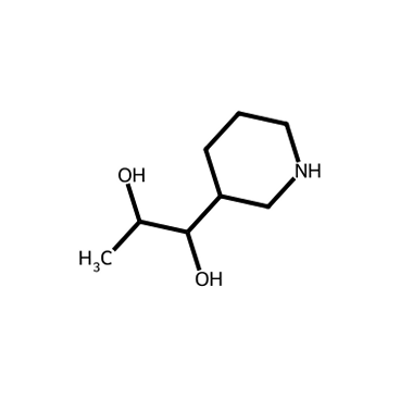 CC(O)C(O)C1CCCNC1